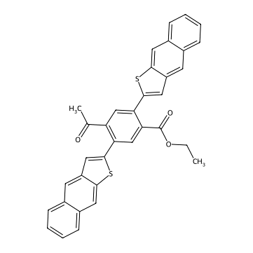 CCOC(=O)c1cc(-c2cc3cc4ccccc4cc3s2)c(C(C)=O)cc1-c1cc2cc3ccccc3cc2s1